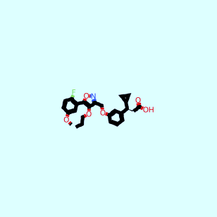 CCCOc1c(COc2cccc([C@@H](CC(=O)O)C3CC3)c2)noc1-c1cc(OC)ccc1F